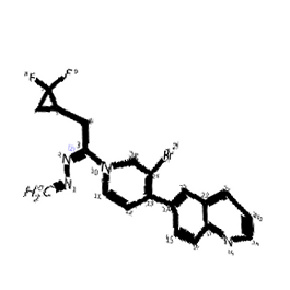 C=N/N=C(/CC1CC1(F)F)N1C=CC(c2ccc3ncccc3c2)=C(Br)C1